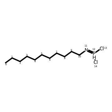 CCCCCCCCCCCN=[PH](Cl)Cl